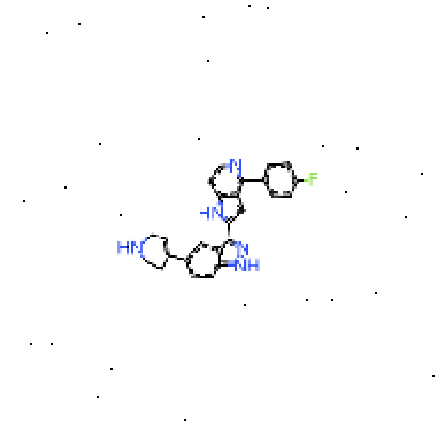 Fc1ccc(-c2nccc3[nH]c(-c4n[nH]c5ccc(C6=CCNCC6)cc45)cc23)cc1